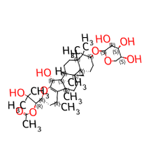 CC(=O)O[C@H]([C@H]1C[C@@H](C)C2=C(O1)[C@H](O)[C@@]1(C)[C@@H]3CC[C@H]4C(C)(C)[C@@H](O[C@@H]5OC[C@H](O)[C@H](O)[C@H]5O)CC[C@@]45C[C@@]35CC[C@]21C)C(C)(C)O